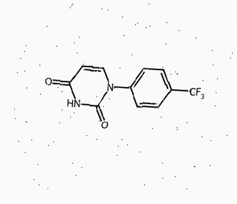 O=c1ccn(-c2ccc(C(F)(F)F)cc2)c(=O)[nH]1